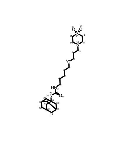 O=C(NCCCCCOCCCN1CCS(=O)(=O)CC1)NC12CC3CC(CC(C3)C1)C2